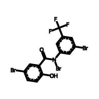 O=C(c1cc(Br)ccc1O)N(Br)c1cc(Br)cc(C(F)(F)F)c1